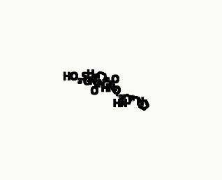 O=C(NOC[C@@H]1C[C@@H](Cn2cccc2)CN1)[C@@H]1CC[C@@H]2CN1C(=O)N2OS(=O)(=O)O